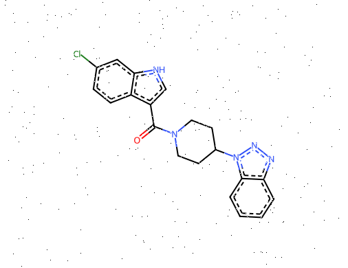 O=C(c1c[nH]c2cc(Cl)ccc12)N1CCC(n2nnc3ccccc32)CC1